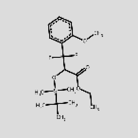 CCOC(=O)C(O[Si](C)(C)C(C)(C)C)C(F)(F)c1ccccc1OC